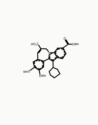 COC(=O)c1ccc2c(C3CCCCC3)c3n(c2c1)CC(C(=O)O)=Cc1cc(OC)c(OC)cc1-3